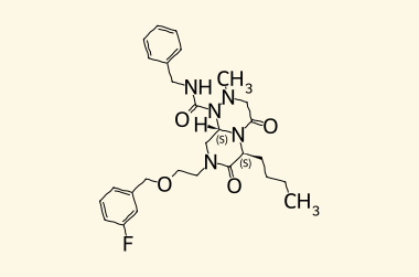 CCCC[C@H]1C(=O)N(CCOCc2cccc(F)c2)C[C@H]2N1C(=O)CN(C)N2C(=O)NCc1ccccc1